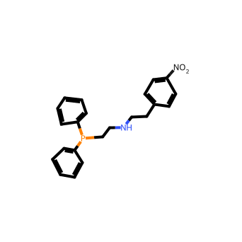 O=[N+]([O-])c1ccc(CCNCCP(c2ccccc2)c2ccccc2)cc1